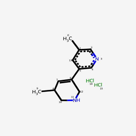 Cc1cncc(C2=CC(C)CNC2)c1.Cl.Cl